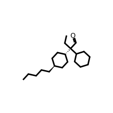 CCCCC[C@H]1CC[C@H](C(C=O)(CC)C2CCCCC2)CC1